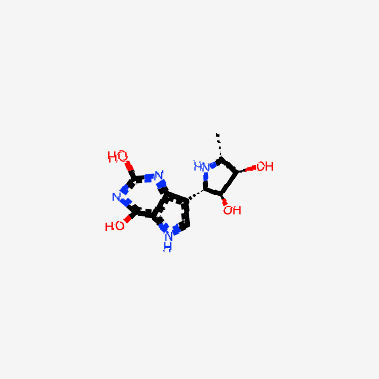 C[C@H]1N[C@@H](c2c[nH]c3c(O)nc(O)nc23)[C@H](O)[C@@H]1O